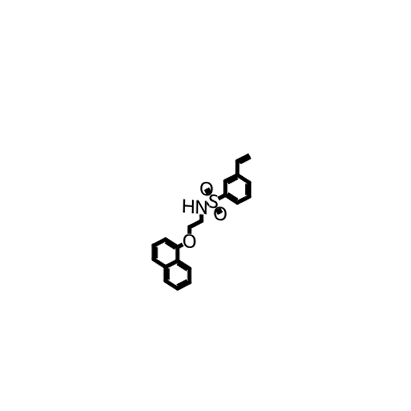 C=Cc1cccc(S(=O)(=O)NCCOc2cccc3ccccc23)c1